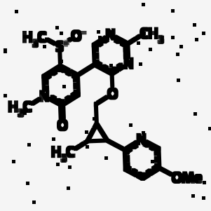 COc1ccc(C2C(C)C2COc2nc(C)ncc2-c2cc(=O)n(C)cc2[S+](C)[O-])nc1